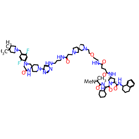 CN[C@@H](C)C(=O)N[C@H](C(=O)N1C[C@@H](NC(=O)CCC(=O)NCCOCCN2CC[C@]3(CCN(CCC(=O)NCCCNc4cc(N5CCC6(CC5)CN(c5cc(F)c(CN7CCC(C)(C)CC7)cc5F)CC(=O)N6)ncn4)C3)C2)C[C@H]1C(=O)NC1CCCc2ccccc21)C1CCCCC1